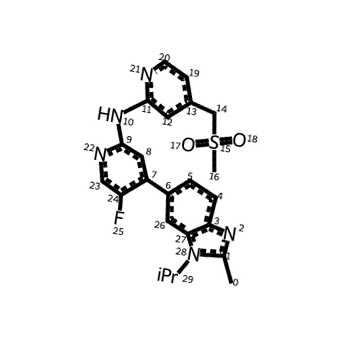 Cc1nc2ccc(-c3cc(Nc4cc(CS(C)(=O)=O)ccn4)ncc3F)cc2n1C(C)C